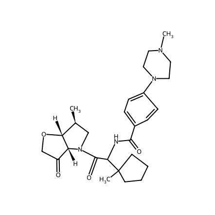 C[C@H]1CN(C(=O)C(NC(=O)c2ccc(N3CCN(C)CC3)cc2)C2(C)CCCC2)[C@@H]2C(=O)CO[C@@H]21